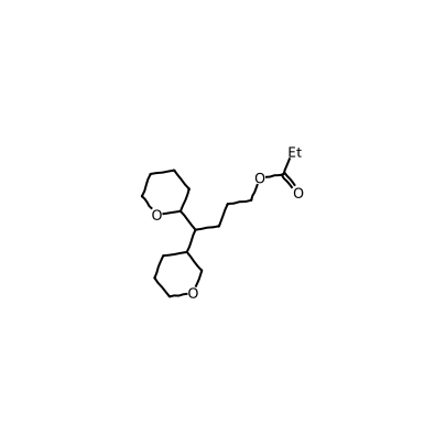 CCC(=O)OCCCC(C1CCCOC1)C1CCCCO1